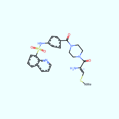 CNS/C=C(\N)C(=O)N1CCN(C(=O)c2ccc(NS(=O)(=O)c3cccc4cccnc34)cc2)CC1